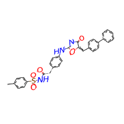 Cc1ccc(S(=O)(=O)NC(=O)Cc2ccc(NC3=NC(=O)/C(=C\c4ccc(-c5ccccc5)cc4)O3)cc2)cc1